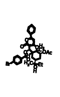 CCC(C)(O)[C@@H]1C[C@@H]2[C@@H](OC(=O)c3ccc(Br)cc3)c3c(cc(-c4ccccc4)oc3=O)O[C@@]2(C)[C@H](OC(C)=O)C1